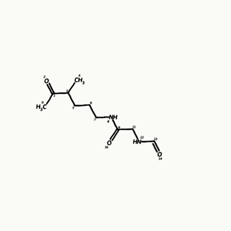 CC(=O)C(C)CCCNC(=O)CNC=O